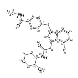 CNC(=O)c1ccc(Cn2cc(CC(=O)NC3CCOCC3O)c3c(F)cccc32)cc1